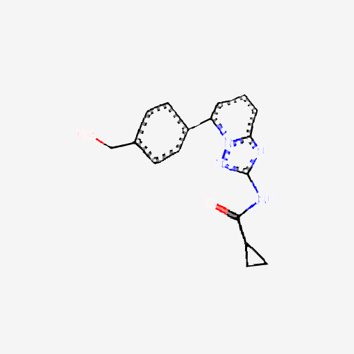 O=C(Nc1nc2cccc(-c3ccc(CO)cc3)n2n1)C1CC1